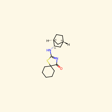 O=C1N=C(N[C@H]2C[C@H]3CC[C@H]2C3)SC12CCCCC2